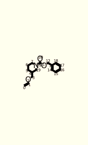 C=COCC1CCCN(C(=O)OCc2ccccc2)C1